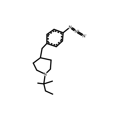 CCC(C)(C)N1CCC(Cc2ccc(N=[N+]=[N-])cc2)CC1